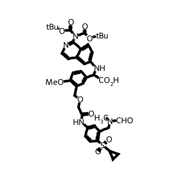 COc1ccc(C(Nc2ccc3c(N(C(=O)OC(C)(C)C)C(=O)OC(C)(C)C)nccc3c2)C(=O)O)cc1COCC(=O)Nc1ccc(S(=O)(=O)C2CC2)c(CN(C)C=O)c1